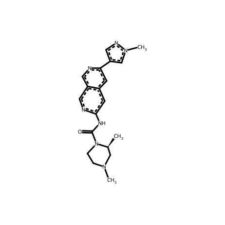 C[C@H]1CN(C)CCN1C(=O)Nc1cc2cc(-c3cnn(C)c3)ncc2cn1